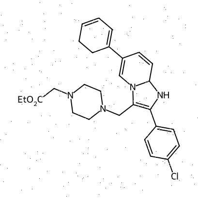 CCOC(=O)CN1CCN(CC2=C(c3ccc(Cl)cc3)NC3C=CC(C4=CC=CCC4)=CN23)CC1